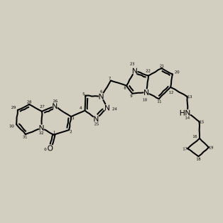 O=c1cc(-c2cn(Cc3cn4cc(CNCC5CCC5)ccc4n3)nn2)nc2ccccn12